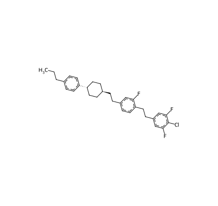 CCCc1ccc([C@H]2CC[C@H](CCc3ccc(CCc4cc(F)c(Cl)c(F)c4)c(F)c3)CC2)cc1